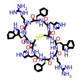 N=C(N)NCCC[C@@H]1NC(=O)[C@@H](Cc2ccccc2)NC(=O)C(Cc2c[nH]cn2)NC(=O)[C@@H]2CSSC[C@H](NC(=O)[C@@H](Cc3c[nH]c4ccccc34)NC1=O)C(=O)N[C@H](Cc1c[nH]cn1)C(=O)N[C@H](Cc1ccccc1)C(=O)N[C@@H](CCCNC(=N)N)C(=O)N[C@H](Cc1c[nH]c3ccccc13)C(=O)N2